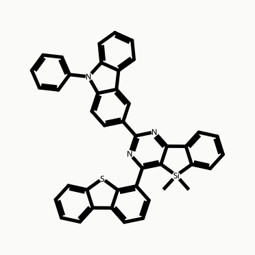 C[Si]1(C)c2ccccc2-c2nc(-c3ccc4c(c3)c3ccccc3n4-c3ccccc3)nc(-c3cccc4c3sc3ccccc34)c21